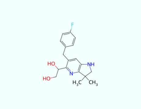 CC1(C)CNc2cc(Cc3ccc(F)cc3)c(C(O)CO)nc21